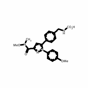 COc1ccc(-n2nc(C(=O)N(C)OC)cc2-c2ccc(CNC(=O)O)cc2)cc1